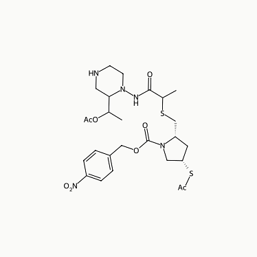 CC(=O)OC(C)C1CNCCN1NC(=O)C(C)SC[C@@H]1C[C@H](SC(C)=O)CN1C(=O)OCc1ccc([N+](=O)[O-])cc1